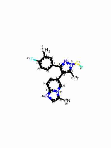 Cc1cc(-c2nn(SF)c(C(C)C)c2-c2ccc3ncc(C#N)n3c2)ccc1F